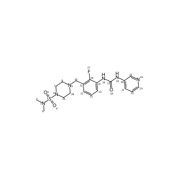 CN(C)S(=O)(=O)N1CCN(Cc2cccc(NC(=O)Nc3cccnc3)c2F)CC1